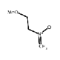 C=[N+]([O-])CCOC